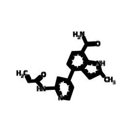 C=CC(=O)Nc1cc(-c2ccc(C(N)=O)c3[nH]c(C)cc23)ccn1